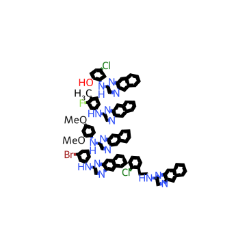 Brc1cccc(Nc2cnc3cc4ccccc4cc3n2)c1.COc1ccc(Nc2cnc3cc4ccccc4cc3n2)c(OC)c1.Cc1ccc(Nc2cnc3cc4ccccc4cc3n2)cc1F.Clc1ccccc1CCNc1cnc2cc3ccccc3cc2n1.Oc1ccc(Cl)cc1Nc1cnc2cc3ccccc3cc2n1